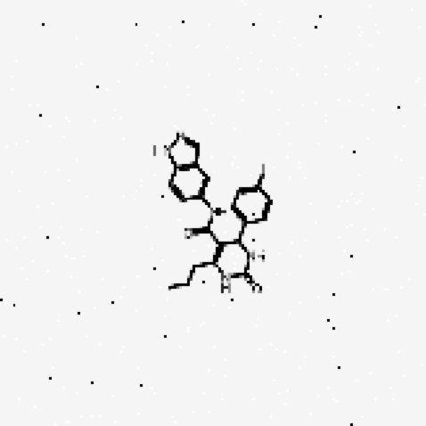 CCCC1=C(C(=O)Nc2ccc3[nH]ncc3c2)C(c2ccc(F)cc2)NC(=O)N1